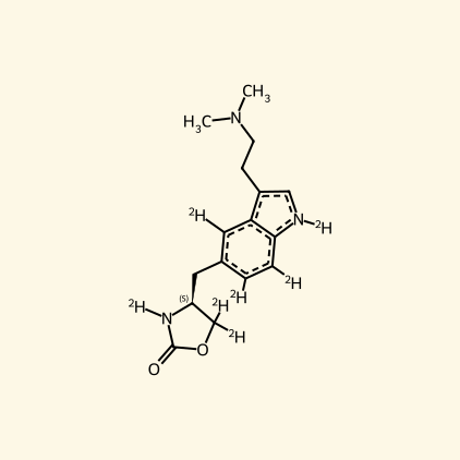 [2H]c1c(C[C@@H]2N([2H])C(=O)OC2([2H])[2H])c([2H])c2c(CCN(C)C)cn([2H])c2c1[2H]